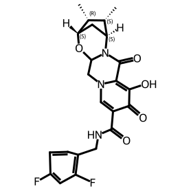 C[C@@H]1[C@H](C)[C@@H]2C[C@@H]1OC1Cn3cc(C(=O)NCc4ccc(F)cc4F)c(=O)c(O)c3C(=O)N12